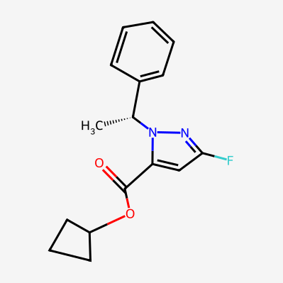 C[C@H](c1ccccc1)n1nc(F)cc1C(=O)OC1CCC1